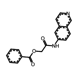 O=C(COC(=O)c1ccccc1)Nc1ccc2cnccc2c1